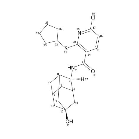 O=C(N[C@H]1C2CC3CC1C[C@@](O)(C3)C2)c1ccc(Cl)nc1SC1CCCC1